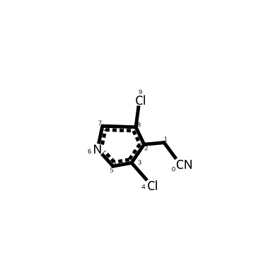 N#CCc1c(Cl)cncc1Cl